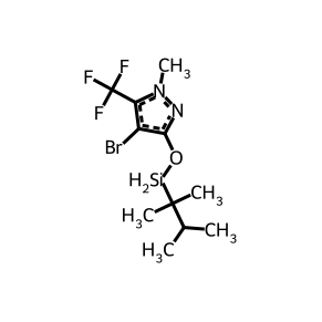 CC(C)C(C)(C)[SiH2]Oc1nn(C)c(C(F)(F)F)c1Br